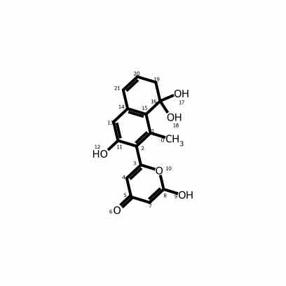 Cc1c(-c2cc(=O)cc(O)o2)c(O)cc2c1C(O)(O)CC=C2